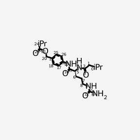 CC(C)CC(=O)N[C@@H](CCCNC(N)=O)C(=O)Nc1ccc(COC(=O)C(C)C)cc1